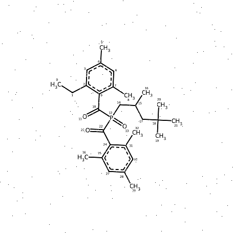 CCc1cc(C)cc(C)c1C(=O)P(=O)(CC(C)CC(C)(C)C)C(=O)c1c(C)cc(C)cc1C